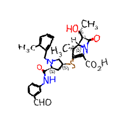 Cc1ccccc1CN1C[C@@H](SC2=C(C(=O)O)N3C(=O)[C@H]([C@@H](C)O)[C@H]3[C@H]2C)C[C@H]1C(=O)Nc1cccc(C=O)c1